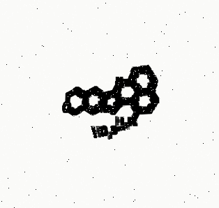 CS(=O)(=O)O.Nc1ccc2cccc3nc4c(cn5cc6c(cc45)=CCOC6)c1c23